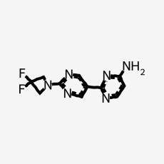 Nc1ccnc(-c2cnc(N3CC(F)(F)C3)nc2)n1